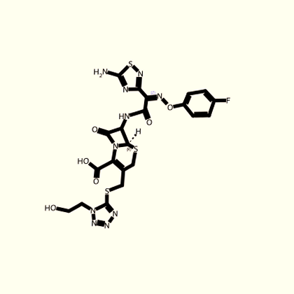 Nc1nc(/C(=N/Oc2ccc(F)cc2)C(=O)NC2C(=O)N3C(C(=O)O)=C(CSc4nnnn4CCO)CS[C@H]23)ns1